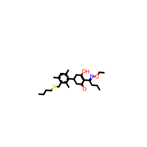 CCCCSCc1c(C)cc(C)c(C2CC(=O)C(/C(CCC)=N/OCC)=C(O)C2)c1C